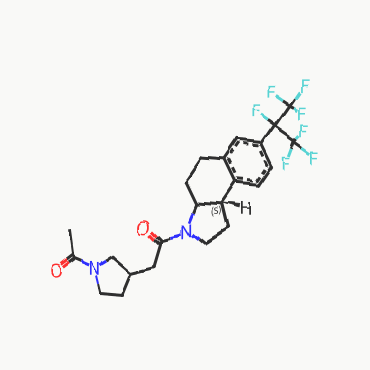 CC(=O)N1CCC(CC(=O)N2CC[C@H]3c4ccc(C(F)(C(F)(F)F)C(F)(F)F)cc4CCC32)C1